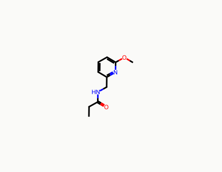 CCC(=O)NCc1cccc(OC)n1